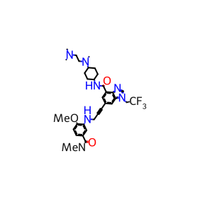 CNC(=O)c1ccc(OC)c(NCC#Cc2cc(C(=O)NC3CCC(N(C)CCN(C)C)CC3)c3ncn(CC(F)(F)F)c3c2)c1